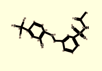 CC(=O)NS(=O)(=O)c1cccc(COc2ccc(C(F)(F)F)cc2Cl)c1